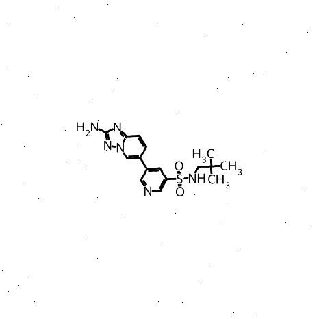 CC(C)(C)CNS(=O)(=O)c1cncc(-c2ccc3nc(N)nn3c2)c1